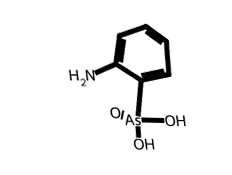 Nc1ccccc1[As](=O)(O)O